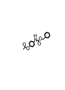 CC(=O)Oc1ccc(NC(=O)OCc2ccccc2)cc1